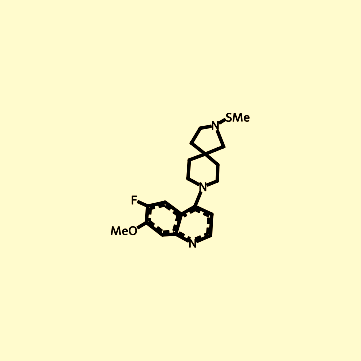 COc1cc2nccc(N3CCC4(CCN(SC)C4)CC3)c2cc1F